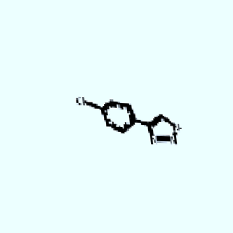 Clc1ccc(C2=C[N]N=N2)cc1